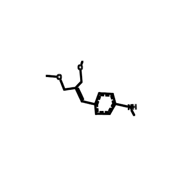 CNc1ccc(C=C(COC)COC)cc1